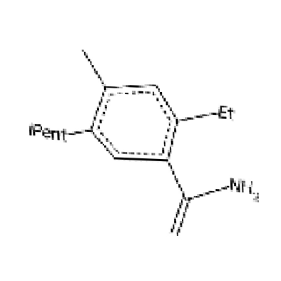 C=C(N)c1cc(C(C)CCC)c(C)cc1CC